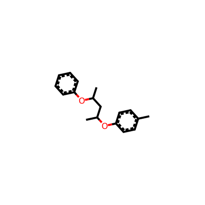 Cc1ccc(OC(C)CC(C)Oc2ccccc2)cc1